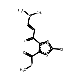 COC(=O)c1sc(Cl)nc1C(=O)C=CN(C)C